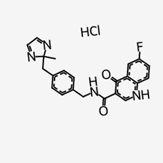 CC1(Cc2ccc(CNC(=O)c3c[nH]c4ccc(F)cc4c3=O)cc2)N=CC=N1.Cl